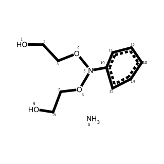 N.OCCON(OCCO)c1ccccc1